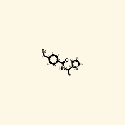 CC(NC(=O)c1ccc(CBr)cc1)c1cccs1